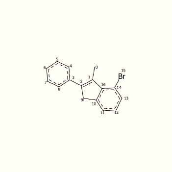 CC1=C(c2ccccc2)[CH]c2cccc(Br)c21